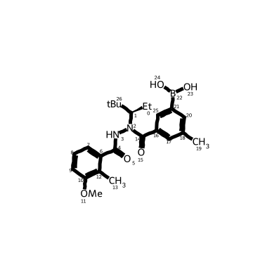 CC[C@@H](N(NC(=O)c1cccc(OC)c1C)C(=O)c1cc(C)cc(B(O)O)c1)C(C)(C)C